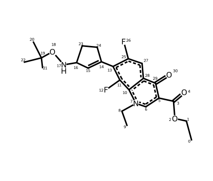 CCOC(=O)c1cn(CC)c2c(F)c(C3=CC(NOC(C)(C)C)CC3)c(F)cc2c1=O